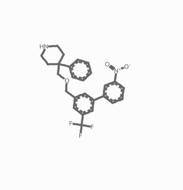 O=[N+]([O-])c1cccc(-c2cc(COCC3(c4ccccc4)CCNCC3)cc(C(F)(F)F)c2)c1